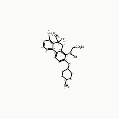 CCOC(=O)CN(CC)c1c(OC2CCC(N)CC2)ccc2c1CC(C)(C)c1c(N)ncnc1-2